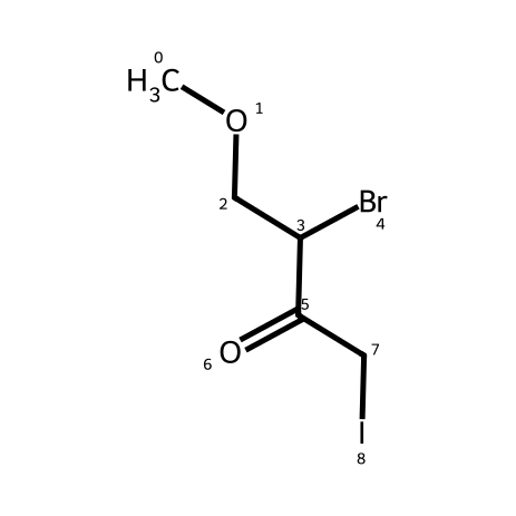 COCC(Br)C(=O)CI